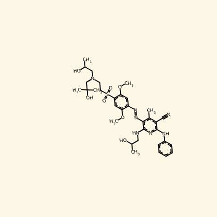 COc1cc(S(=O)(=O)CCN(CC(C)O)CC(C)(C)O)c(OC)cc1/N=N/c1c(NCC(C)O)nc(Nc2ccccc2)c(C#N)c1C